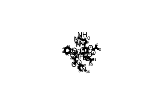 CC(C)C(=O)O[C@H]1[C@H](c2ccc3c(N)ncnn23)O[C@](C#N)(COP(=O)(NC(C)C(=O)O[C@@H]2CCN(C)C2)Oc2ccccc2)[C@H]1OC(=O)C(C)C